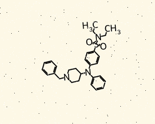 CCN(CC)S(=O)(=O)c1ccc(N(c2ccccc2)C2CCN(Cc3ccccc3)CC2)cc1